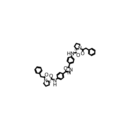 O=C(Nc1ccc(-c2nnc(-c3ccc(NC(=O)[C@@H]4CCCN4C(=O)Cc4ccccc4)cc3)o2)cc1)[C@@H]1CCCN1C(=O)Cc1ccccc1